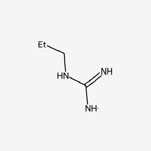 CCCNC([NH])=N